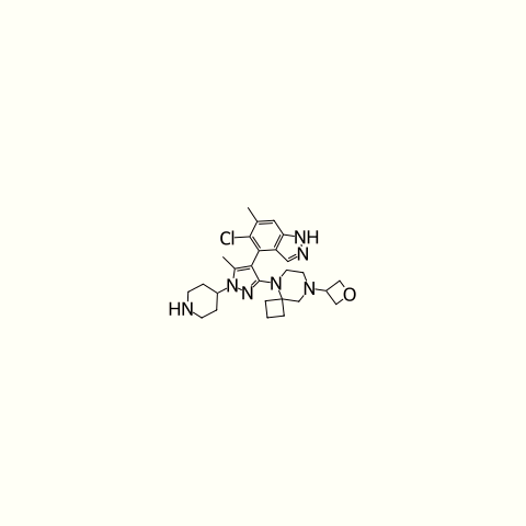 Cc1cc2[nH]ncc2c(-c2c(N3CCN(C4COC4)CC34CCC4)nn(C3CCNCC3)c2C)c1Cl